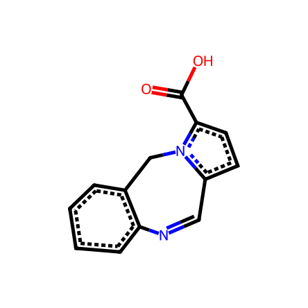 O=C(O)c1ccc2n1Cc1ccccc1N=C2